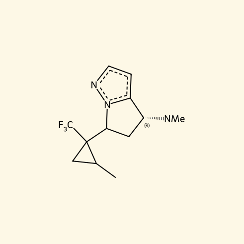 CN[C@@H]1CC(C2(C(F)(F)F)CC2C)n2nccc21